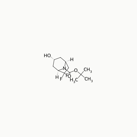 CC(C)(C)OC(=O)N1[C@H]2C[C@@H](O)C[C@@H]1C(F)(F)C2